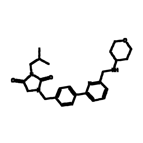 CC(C)CN1C(=O)CN(Cc2ccc(-c3cccc(CNC4CCOCC4)n3)cc2)C1=O